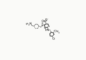 Cc1cc(Cl)ccc1CNc1ncc([N+](=O)[O-])c(NCC2CCC(CN)CC2)n1